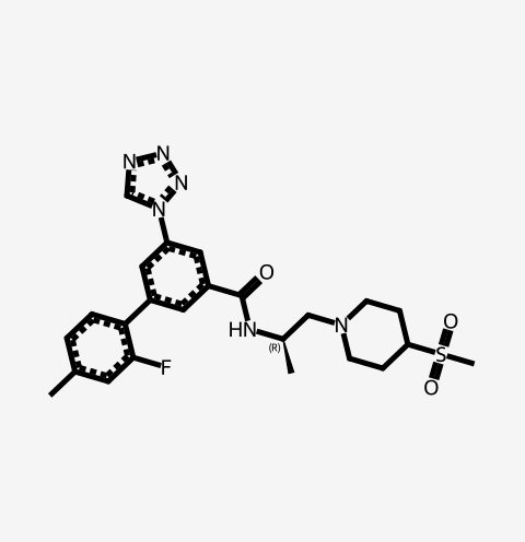 Cc1ccc(-c2cc(C(=O)N[C@H](C)CN3CCC(S(C)(=O)=O)CC3)cc(-n3cnnn3)c2)c(F)c1